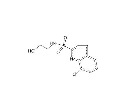 O=S(=O)(NCCO)c1ccc2cccc(Cl)c2n1